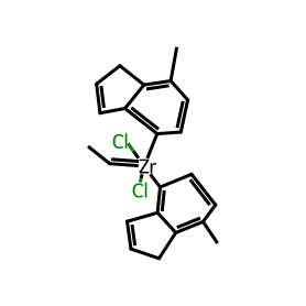 C[CH]=[Zr]([Cl])([Cl])([c]1ccc(C)c2c1C=CC2)[c]1ccc(C)c2c1C=CC2